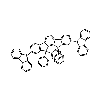 c1ccc(-n2c3cc(-n4c5ccccc5c5ccccc54)ccc3c3ccc4c(c32)C(c2ccccc2)(c2ccccc2)c2cc(-n3c5ccccc5c5ccccc53)ccc2-4)cc1